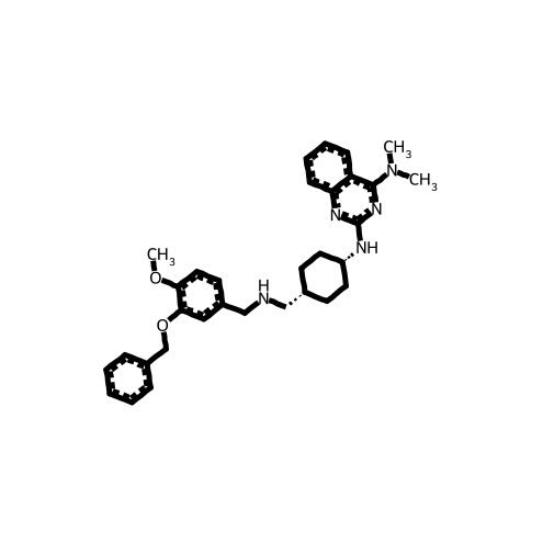 COc1ccc(CNC[C@H]2CC[C@@H](Nc3nc(N(C)C)c4ccccc4n3)CC2)cc1OCc1ccccc1